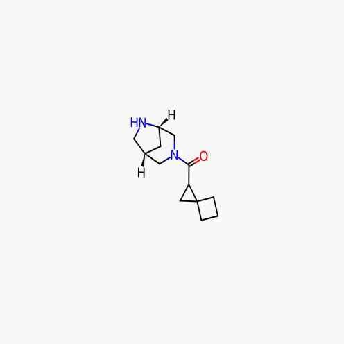 O=C(C1CC12CCC2)N1C[C@@H]2CN[C@@H](C2)C1